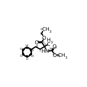 CCOC(=O)C(C)(CCc1ccccc1)NC(=O)OC